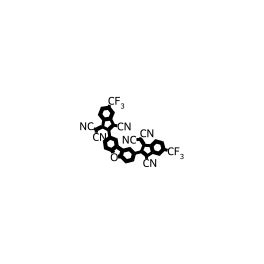 N#CC(C#N)=C1C(c2ccc3oc4ccc(C5=C(C#N)c6cc(C(F)(F)F)ccc6C5=C(C#N)C#N)cc4c3c2)=C(C#N)c2cc(C(F)(F)F)ccc21